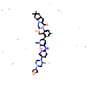 C[C@H]1CN(C2COC2)CCN1c1ccc(NC2=CC(c3cc(F)cc(N4CCn5c(cc6c5CC(C)(C)C6)C4=O)c3CO)=CN(C)C2O)nc1